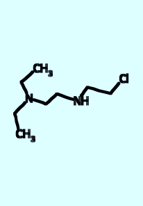 CCN(CC)CCNCCCl